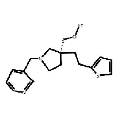 CCOC[C@]1(CCc2cccs2)CCN(Cc2cccnc2)C1